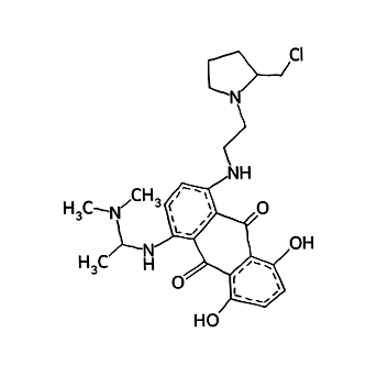 CC(Nc1ccc(NCCN2CCCC2CCl)c2c1C(=O)c1c(O)ccc(O)c1C2=O)N(C)C